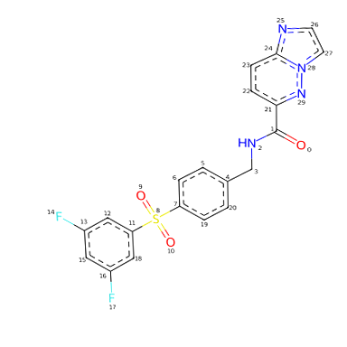 O=C(NCc1ccc(S(=O)(=O)c2cc(F)cc(F)c2)cc1)c1ccc2nccn2n1